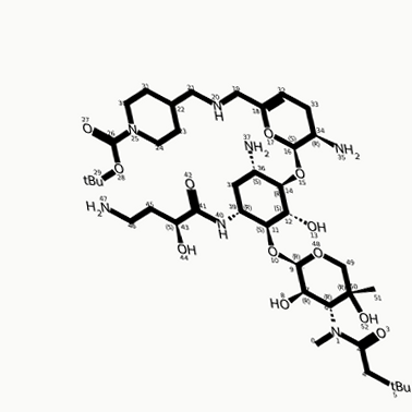 CN(C(=O)CC(C)(C)C)[C@@H]1[C@@H](O)[C@@H](O[C@@H]2[C@@H](O)[C@H](O[C@H]3OC(CNCC4CCN(C(=O)OC(C)(C)C)CC4)=CC[C@H]3N)[C@@H](N)C[C@H]2NC(=O)[C@@H](O)CCN)OC[C@]1(C)O